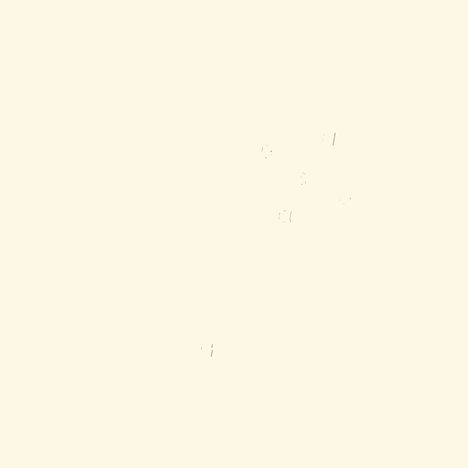 CCc1cccc(Cl)c1.O=S(=O)(Cl)Cl